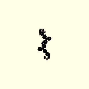 C=Cc1ccc(-c2ccc(N(c3ccccc3)c3ccc4c(ccc5cc(N(c6ccccc6)c6ccc(-c7ccc(C=C)nc7)cc6)ccc54)c3)cc2)cn1